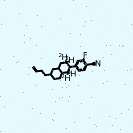 [2H]C1([2H])CC2CC(CCC=C)CCC2C([2H])([2H])C1c1ccc(C#N)c(F)c1